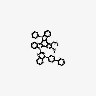 C=Nc1sc2c(c1/C=N\C)c1c3ccccc3n(-c3ccccc3)c1c1c3ccccc3n(-c3nc(-c4ccc(-c5ccccc5)cc4)c4ccccc4n3)c21